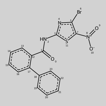 O=C(Nc1nc(Br)c([N+](=O)[O-])s1)c1cc[c]cc1-c1ccccc1